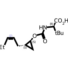 CC/C=C\C[C@H]1C[C@@H]1OC(=O)N[C@@H](C(=O)O)C(C)(C)C